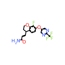 NC(=O)C=CC1CCOc2c1ccc(Oc1cnc(C(F)(F)F)nc1)c2F